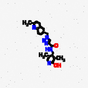 Cc1ccc2cc(Cn3cc(C(=O)NCc4c(C)cnc(O)c4C)nn3)ccc2n1